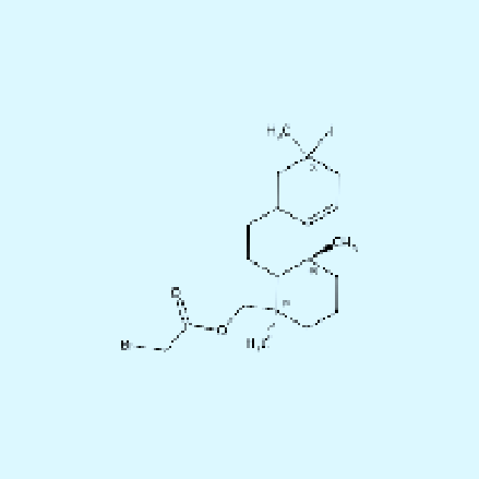 C[C@]1(I)CC=C2C(CCC3[C@](C)(COC(=O)CBr)CCC[C@@]23C)C1